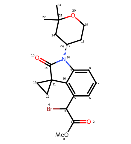 COC(=O)C(Br)c1cccc2c1C1(CC1)C(=O)N2[C@H]1CCOC(C)(C)C1